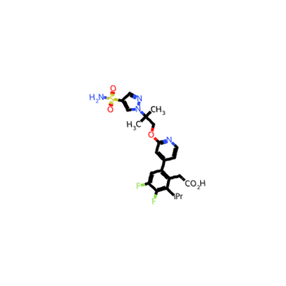 CC(C)c1c(F)c(F)cc(-c2ccnc(OCC(C)(C)n3cc(S(N)(=O)=O)cn3)c2)c1CC(=O)O